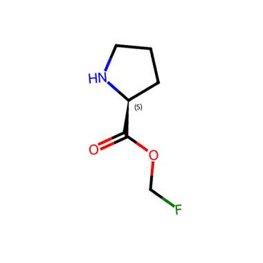 O=C(OCF)[C@@H]1CCCN1